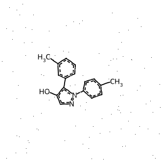 Cc1ccc(-n2ncc(O)c2-c2cccc(C)c2)cc1